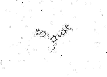 CCCOc1cc(COc2ccc(C(=N)N)cc2)cc(COc2ccc(C(=N)N)cc2)c1